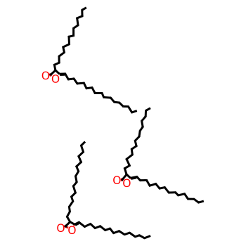 CCCCCCCCCCCCCCC=C1OC(=O)C1CCCCCCCCCCCCCC.CCCCCCCCCCCCCCC=C1OC(=O)C1CCCCCCCCCCCCCCCC.CCCCCCCCCCCCCCCCC=C1OC(=O)C1CCCCCCCCCCCCCC